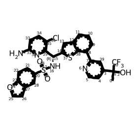 CC(O)(c1ccnc(-c2cccc3cc([C@H](NS(=O)(=O)c4ccc5occc5c4)c4nc(N)ccc4Cl)sc23)c1)C(F)(F)F